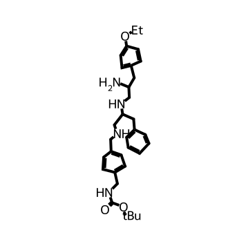 CCOc1ccc(CC(N)CNC(CNCc2ccc(CNC(=O)OC(C)(C)C)cc2)Cc2ccccc2)cc1